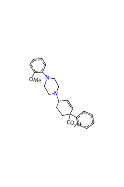 CCOC(=O)C1(c2ccccc2)C=CC(N2CCN(c3ccccc3OC)CC2)CC1